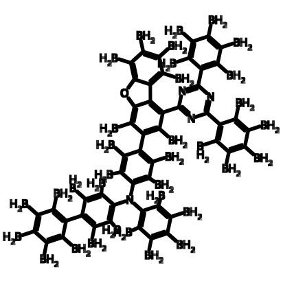 Bc1c(B)c(B)c(-c2nc(-c3c(B)c(B)c(B)c(B)c3B)nc(-c3c(B)c(-c4c(B)c(B)c(N(c5c(B)c(B)c(B)c(B)c5B)c5c(B)c(B)c(-c6c(B)c(B)c(B)c(B)c6B)c(B)c5B)c(B)c4B)c(B)c4oc5c(B)c(B)c(B)c(B)c5c34)n2)c(B)c1B